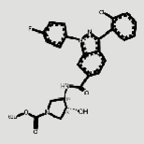 CC(C)(C)OC(=O)N1C[C@@H](O)[C@H](NC(=O)c2ccc3c(-c4ccccc4Cl)nn(-c4ccc(F)cc4)c3c2)C1